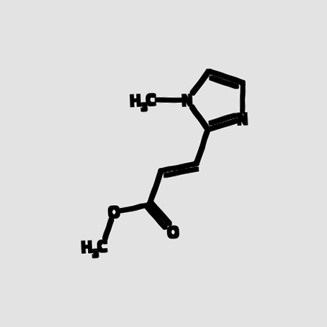 COC(=O)C=Cc1nccn1C